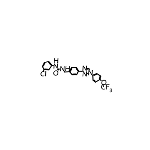 O=C(NCc1ccc(-c2ncn(-c3ccc(OC(F)(F)F)cc3)n2)cc1)Nc1cccc(Cl)c1